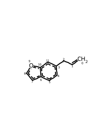 C=C[CH]c1ccc2ccoc2c1